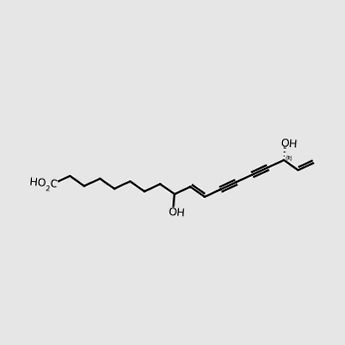 C=C[C@@H](O)C#CC#CC=CC(O)CCCCCCCC(=O)O